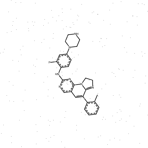 Cc1ccccc1C1=Cc2cnc(Nc3ccc(N4CCNCC4)cc3F)nc2N2CCN=C12